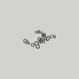 CCCCc1cc(NC(=O)Nc2ccc(OCCN3CCOCC3)c3ccccc23)n(-c2cccc(C#N)c2)n1